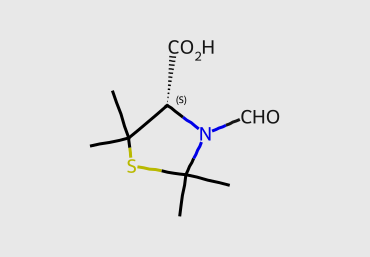 CC1(C)SC(C)(C)N(C=O)[C@H]1C(=O)O